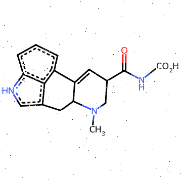 CN1CC(C(=O)NC(=O)O)C=C2c3cccc4[nH]cc(c34)CC21